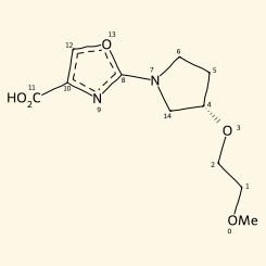 COCCO[C@H]1CCN(c2nc(C(=O)O)co2)C1